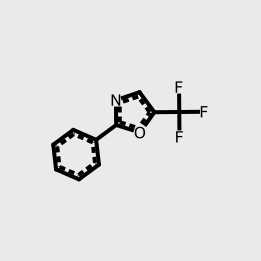 FC(F)(F)c1cnc(-c2ccccc2)o1